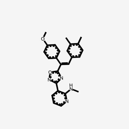 CNc1ncccc1-c1noc(C(=Cc2ccc(C)c(C)c2)c2ccc(OC)cc2)n1